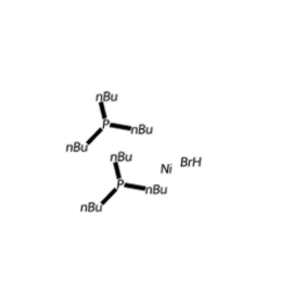 Br.CCCCP(CCCC)CCCC.CCCCP(CCCC)CCCC.[Ni]